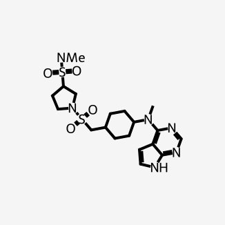 CNS(=O)(=O)C1CCN(S(=O)(=O)CC2CCC(N(C)c3ncnc4[nH]ccc34)CC2)C1